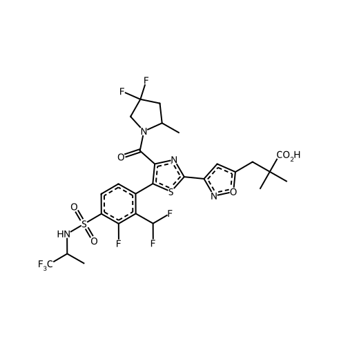 CC1CC(F)(F)CN1C(=O)c1nc(-c2cc(CC(C)(C)C(=O)O)on2)sc1-c1ccc(S(=O)(=O)NC(C)C(F)(F)F)c(F)c1C(F)F